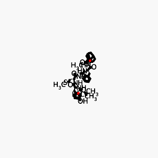 COC(=O)C12CC3CC(CC(C3)C1NC(=O)[C@H](Cc1ccccc1)NC(=O)CNC(=O)[C@@H](CCSC)NC(=O)[C@H](Cc1ccc(O)cc1)NC(=O)OC(C)(C)C)C2